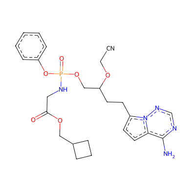 N#CCOC(CCc1ccc2c(N)ncnn12)COP(=O)(NCC(=O)OCC1CCC1)Oc1ccccc1